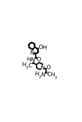 CC(NC(=O)c1cc(O)c2ccccc2n1)C1CCN(C(=O)[C@H](C)N)CC1